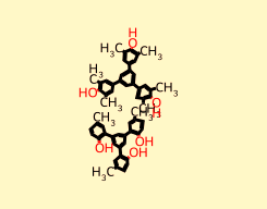 Cc1cc(-c2cc(-c3cc(C)c(O)c(C)c3)cc(-c3cc(C)c(O)c(C)c3)c2)cc(C)c1O.Cc1ccc(O)c(-c2cc(-c3cc(C)ccc3O)cc(-c3cc(C)ccc3O)c2)c1